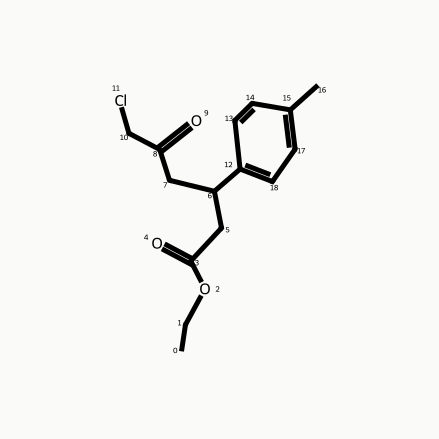 CCOC(=O)CC(CC(=O)CCl)c1ccc(C)cc1